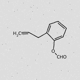 C=CCc1ccccc1OC=O